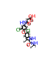 Cc1c(C(=O)NC(C)C)[nH]c2ccc(Oc3c(Cl)cc(NC(=O)CC(=O)O)cc3Cl)cc12